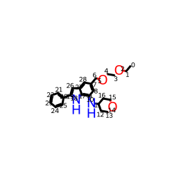 CCOCCOCc1cc(NC2CCOCC2)c2[nH]c(-c3ccccc3)cc2c1